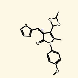 COc1ccc(N2C(=O)/C(=C\c3cccs3)C(C3OC(C)O3)=C2C)cc1